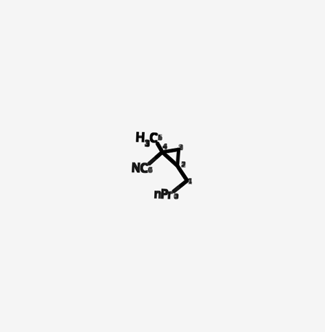 CCCCC1CC1(C)C#N